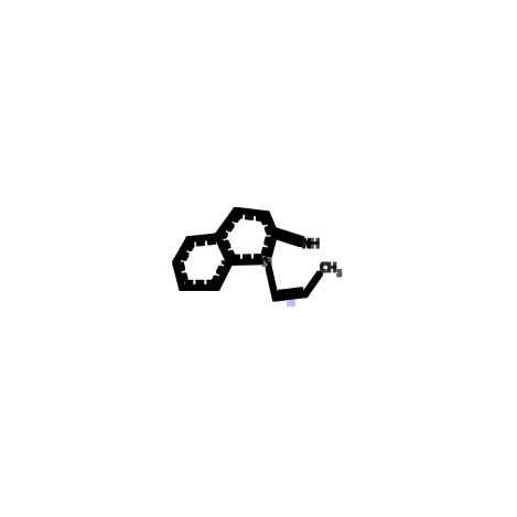 C/C=C\n1c(=N)ccc2ccccc21